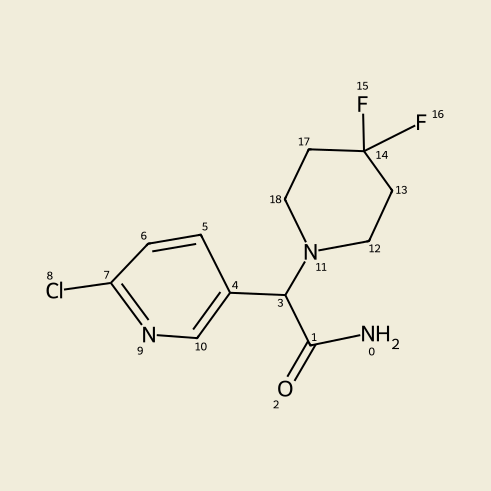 NC(=O)C(c1ccc(Cl)nc1)N1CCC(F)(F)CC1